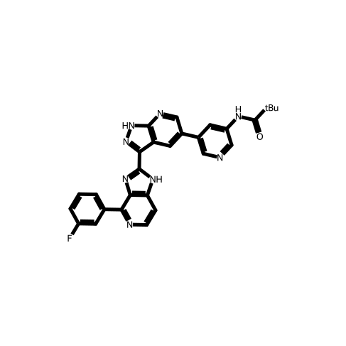 CC(C)(C)C(=O)Nc1cncc(-c2cnc3[nH]nc(-c4nc5c(-c6cccc(F)c6)nccc5[nH]4)c3c2)c1